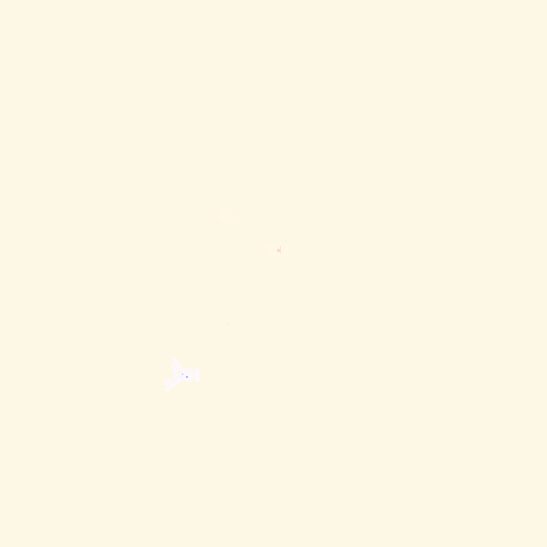 CC(CP(=O)(O)CCCCC(=O)O)SSc1ccc[nH]1